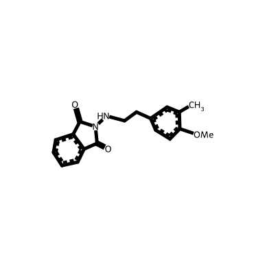 COc1ccc(CCNN2C(=O)c3ccccc3C2=O)cc1C